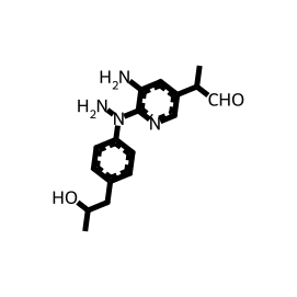 CC(O)Cc1ccc(N(N)c2ncc(C(C)C=O)cc2N)cc1